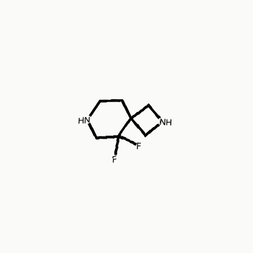 FC1(F)CNCCC12CNC2